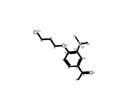 CC(=O)c1ccc(OCCCCl)c(N(C)C)c1